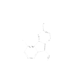 O=CC1c2ccc(O)cc2-c2c(O)cccc21